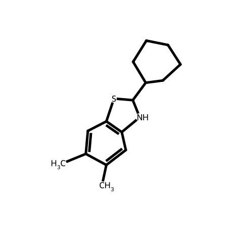 Cc1cc2c(cc1C)SC(C1CCCCC1)N2